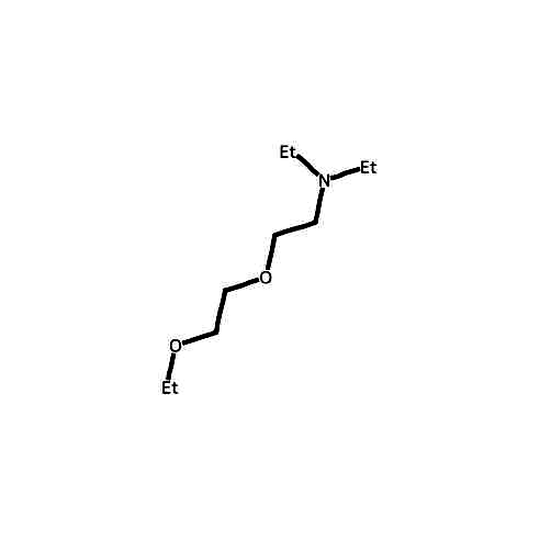 [CH2]COCCOCCN(CC)CC